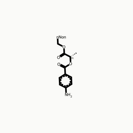 CCCCCCCCCCOC(=O)[C@H](C)OC(=O)c1ccc(N)cc1